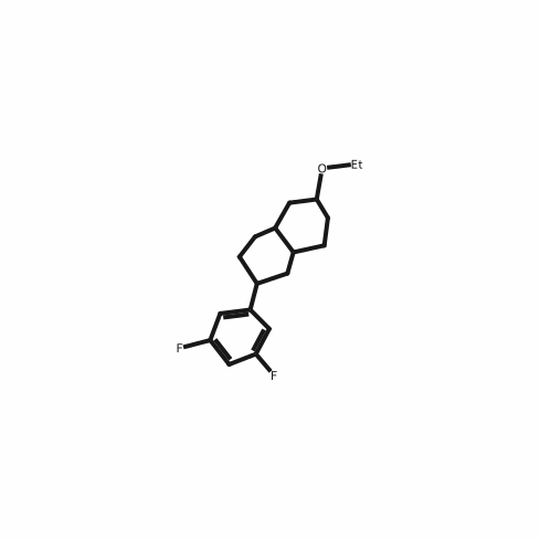 CCOC1CCC2CC(c3cc(F)cc(F)c3)CCC2C1